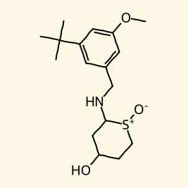 COc1cc(CNC2CC(O)CC[S+]2[O-])cc(C(C)(C)C)c1